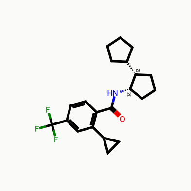 O=C(N[C@H]1CCC[C@H]1C1CCCC1)c1ccc(C(F)(F)F)cc1C1CC1